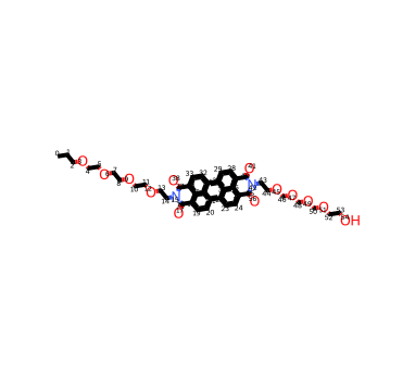 CCCOCCOCCOCCOCCN1C(=O)c2ccc3c4ccc5c6c(ccc(c7ccc(c2c37)C1=O)c64)C(=O)N(CCOCOCOCOCCO)C5=O